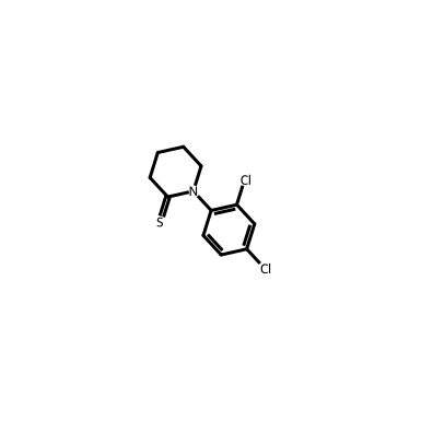 S=C1CCCCN1c1ccc(Cl)cc1Cl